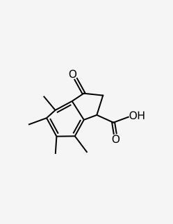 Cc1c(C)c(C)c2c(c1C)C(=O)CC2C(=O)O